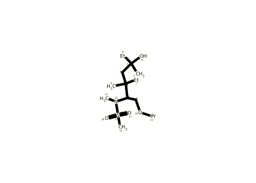 CCC(C)(O)CC(C)(CC)C(COC(C)C)N(C)S(C)(=O)=O